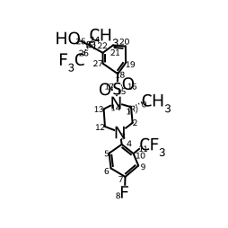 C[C@@H]1CN(c2ccc(F)cc2C(F)(F)F)CCN1S(=O)(=O)c1cccc([C@](C)(O)C(F)(F)F)c1